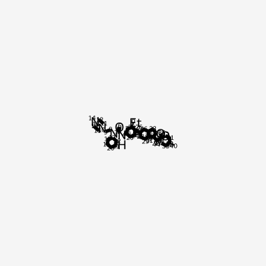 CC[C@@H]1C[C@H](NC(=O)N(CCN2CCN(C)CC2)C2CCCCC2)CC[C@]1(C)C1CC[C@@]2(C)C(CC3O[C@]4(CC[C@H](C)CO4)[C@@H](C)C32)C1